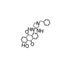 O=C1c2ccc3c(c2C(=O)c2cccc(O)c21)NC1(CCN(Cc2ccccc2)C1)N3